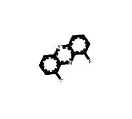 Fc1cccc2[s+]c3cccc(F)c3nc12